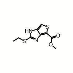 CCSc1nc2c(C(=O)OC)scc2[nH]1